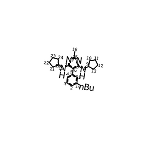 CCCCc1cccc(-c2c(NC3CCCC3)nc(C)nc2NC2CCCC2)c1